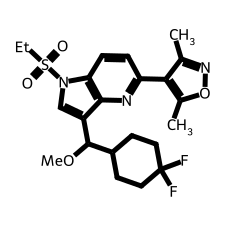 CCS(=O)(=O)n1cc(C(OC)C2CCC(F)(F)CC2)c2nc(-c3c(C)noc3C)ccc21